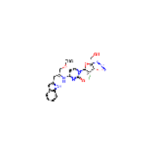 [N-]=[N+]=N[C@]1(CO)OC(n2ccc(N[C@H](COC=O)Cc3cc4ccccc4[nH]3)nc2=O)[C@@H](F)C1O